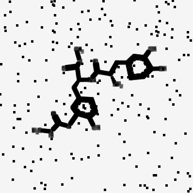 CNC(=O)Oc1cc(C[C@H](NC(=O)[C@@H](N)Cc2ccc(O)c(O)c2)C(=O)OC)ccc1O